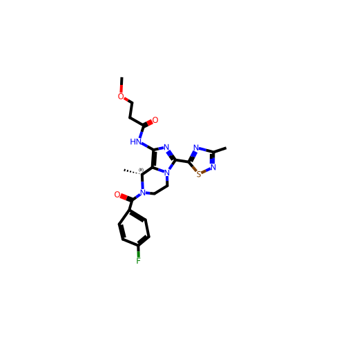 COCCC(=O)Nc1nc(-c2nc(C)ns2)n2c1[C@@H](C)N(C(=O)c1ccc(F)cc1)CC2